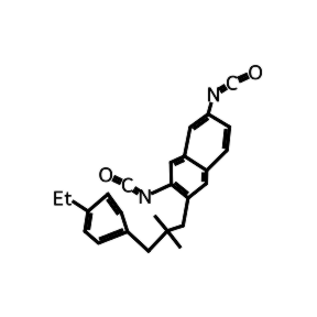 CCc1ccc(CC(C)(C)Cc2cc3ccc(N=C=O)cc3cc2N=C=O)cc1